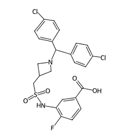 O=C(O)c1ccc(F)c(NS(=O)(=O)CC2CN(C(c3ccc(Cl)cc3)c3ccc(Cl)cc3)C2)c1